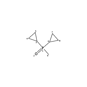 CP(=O)(C1CC1)C1CC1